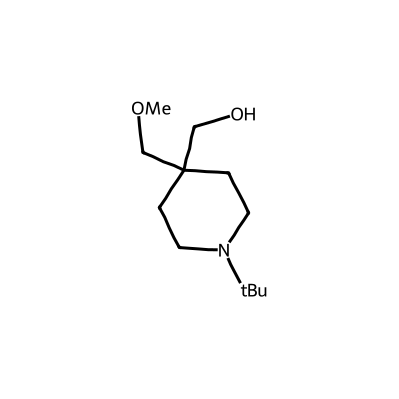 COCC1(CO)CCN(C(C)(C)C)CC1